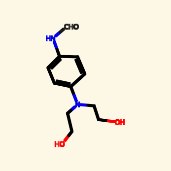 O=CNc1ccc(N(CCO)CCO)cc1